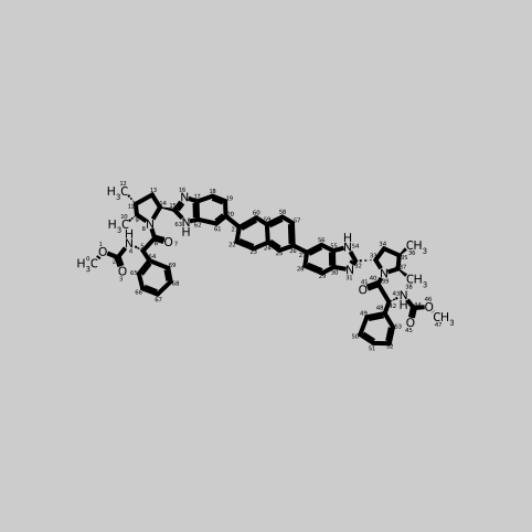 COC(=O)N[C@H](C(=O)N1[C@H](C)[C@H](C)C[C@H]1c1nc2ccc(-c3ccc4cc(-c5ccc6nc([C@@H]7C[C@@H](C)[C@@H](C)N7C(=O)[C@H](NC(=O)OC)c7ccccc7)[nH]c6c5)ccc4c3)cc2[nH]1)c1ccccc1